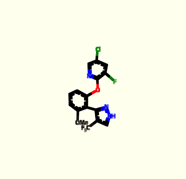 COc1cccc(Oc2ncc(Cl)cc2F)c1-c1n[nH]cc1C(F)(F)F